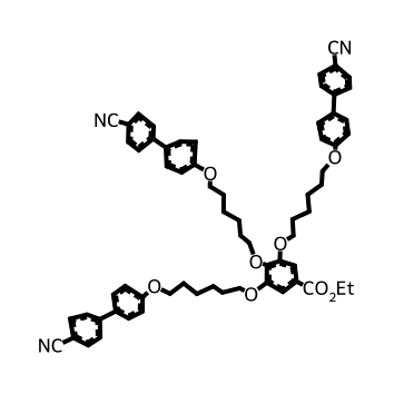 CCOC(=O)c1cc(OCCCCCCOc2ccc(-c3ccc(C#N)cc3)cc2)c(OCCCCCCOc2ccc(-c3ccc(C#N)cc3)cc2)c(OCCCCCCOc2ccc(-c3ccc(C#N)cc3)cc2)c1